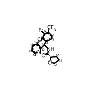 O=C(NC(c1ccc(C(F)(F)F)c(F)c1)c1ncccc1C(F)(F)F)[C@@H]1CCCO1